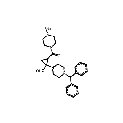 CC(C)(C)N1CCN(C(=O)C2CC2(C=O)N2CCN(C(c3ccccc3)c3ccccc3)CC2)CC1